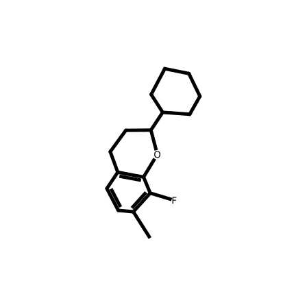 Cc1ccc2c(c1F)OC(C1CCCCC1)CC2